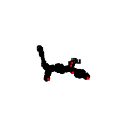 CCC(C)c1ccc(N(c2ccc(-c3ccc4ccc5c(-c6ccccc6)ccc6ccc3c4c65)cc2)c2ccc(-c3ccc4ccc5c(-c6ccc(N(c7ccc(OCCCCCCOCC8(C)COC8)cc7)c7ccc(-c8ccccc8)cc7)cc6)ccc6ccc3c4c65)cc2)cc1